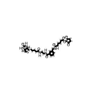 O=C(CCCC[C@@H]1SC[C@@H]2NC(=O)N[C@@H]21)NCCNC(=O)c1cccc(CNC(=O)CCCCC(=O)ON2C(=O)CCC2=O)c1